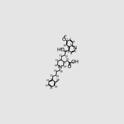 COc1ccc2nccc(C(O)CC[C@@H]3CCN(CCCCc4ccccc4C)C[C@@H]3CC(=O)O)c2c1